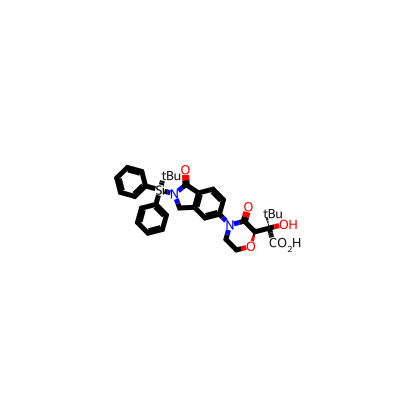 CC(C)(C)[C@](O)(C(=O)O)[C@H]1OCCN(c2ccc3c(c2)CN([Si](c2ccccc2)(c2ccccc2)C(C)(C)C)C3=O)C1=O